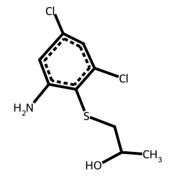 CC(O)CSc1c(N)cc(Cl)cc1Cl